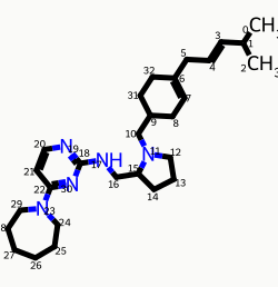 CC(C)C=CCC1=CCC(CN2CCCC2CNc2nccc(N3CCCCCC3)n2)CC1